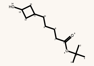 CC(C)(C)OC(=O)CCCCC1CC(O)C1